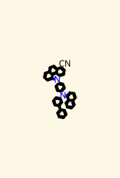 N#Cc1ccc2c3c1ccc1cccc(c13)n2-c1ccc(N(c2cccc(-c3ccccc3)c2)c2cccc3ccccc23)cc1